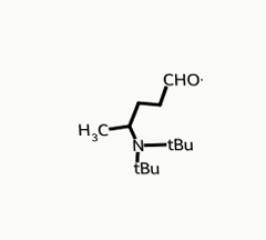 CC(CC[C]=O)N(C(C)(C)C)C(C)(C)C